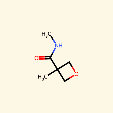 CNC(=O)C1(C)COC1